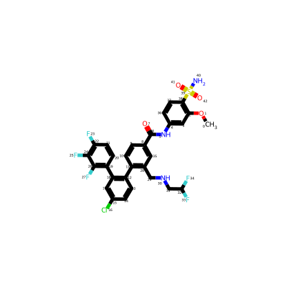 COc1cc(NC(=O)c2ccc(-c3ccc(Cl)cc3-c3ccc(F)c(F)c3F)c(CNCC(F)F)c2)ccc1S(N)(=O)=O